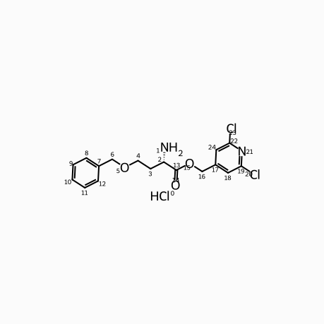 Cl.N[C@@H](CCOCc1ccccc1)C(=O)OCc1cc(Cl)nc(Cl)c1